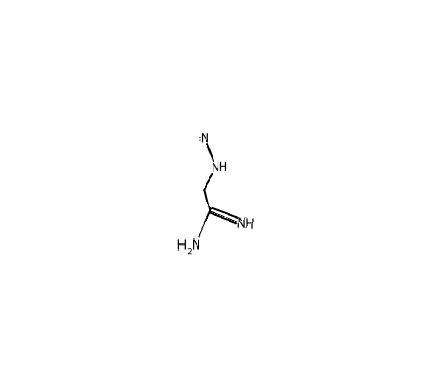 [N]NCC(=N)N